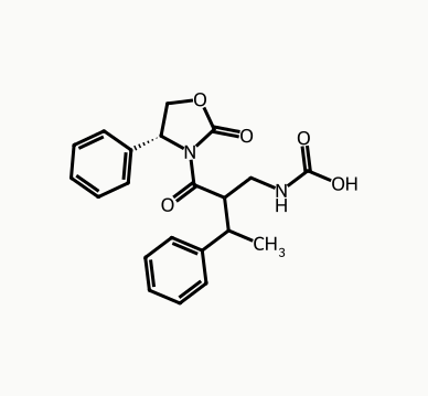 CC(c1ccccc1)C(CNC(=O)O)C(=O)N1C(=O)OC[C@H]1c1ccccc1